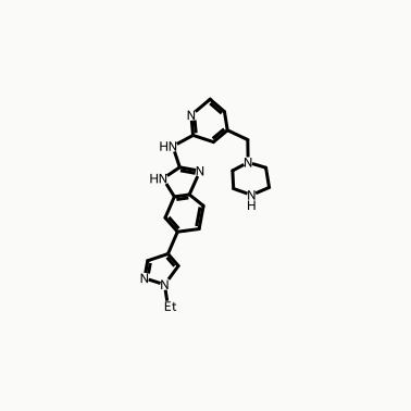 CCn1cc(-c2ccc3nc(Nc4cc(CN5CCNCC5)ccn4)[nH]c3c2)cn1